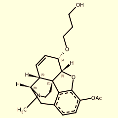 CC(=O)Oc1ccc2c3c1O[C@H]1[C@@H](OCCCO)C=C[C@H]4[C@@H](C2)N(C)CC[C@@]341